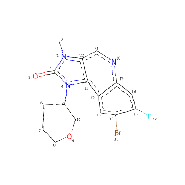 Cn1c(=O)n(C2CCCOC2)c2c3cc(Br)c(F)cc3ncc21